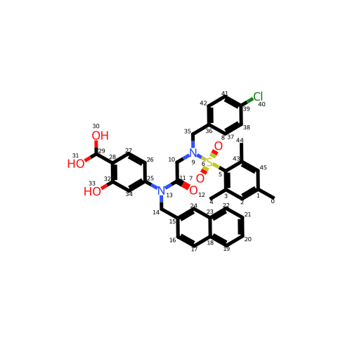 Cc1cc(C)c(S(=O)(=O)N(CC(=O)N(Cc2ccc3ccccc3c2)c2ccc(C(O)O)c(O)c2)Cc2ccc(Cl)cc2)c(C)c1